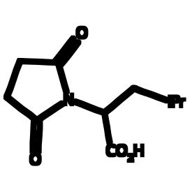 CC(C)CC(C(=O)O)N1C(=O)CCC1=O